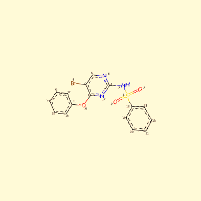 O=S(=O)(Nc1ncc(Br)c(Oc2ccccc2)n1)c1ccccc1